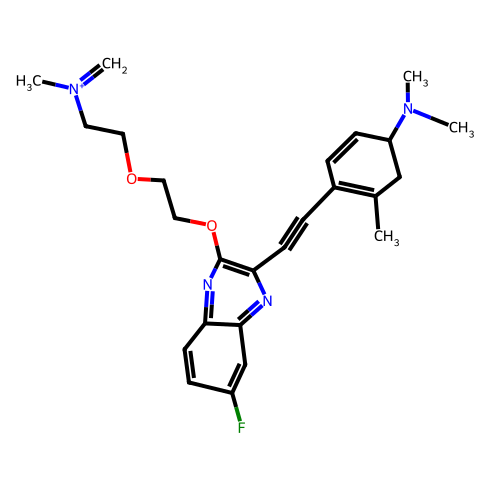 C=[N+](C)CCOCCOc1nc2ccc(F)cc2nc1C#CC1=C(C)CC(N(C)C)C=C1